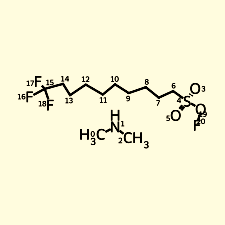 CNC.O=S(=O)(CCCCCCCCCC(F)(F)F)OF